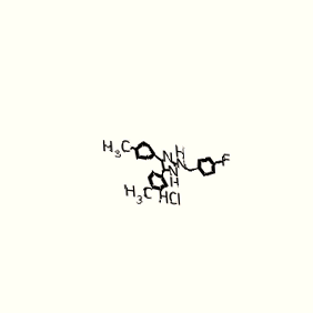 Cc1ccc(C2N=C(NCc3ccc(F)cc3)NC2c2ccc(C)cc2)cc1.Cl